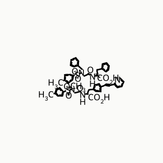 Cc1ccc(S(=O)(=O)N(C)CC(=O)NC(Cc2ccc(C#Cc3ccccn3)cc2)C(=O)O)cc1.Cc1ccc(S(=O)(=O)N(CC(=O)N[C@@H](Cc2ccccc2)C(=O)O)Cc2ccccc2)cc1